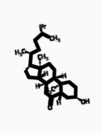 CC(C)[C@H](C)CC[C@@H](C)[C@H]1CC[C@H]2[C@@H]3CC(=O)[C@H]4C[C@@H](O)CC[C@]4(C)[C@H]3CC[C@]12C